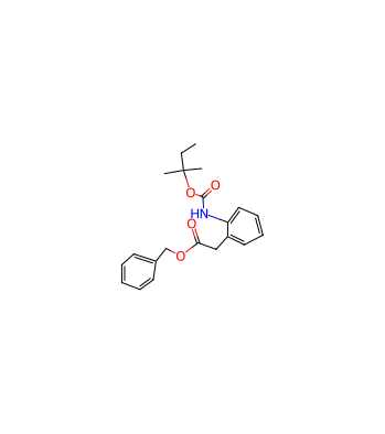 CCC(C)(C)OC(=O)Nc1ccccc1CC(=O)OCc1ccccc1